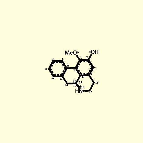 COc1c(O)cc2c3c1-c1ccccc1C[C@@H]3NCC2